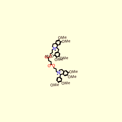 COc1ccc(C2c3cc(OC)c(OC)cc3CC[N+]2(C)CCCOC(=O)CCC(=O)OCCC[N+]2(C)CCc3cc(OC)c(OC)cc3C2Cc2cc(OC)c(OC)c(OC)c2)cc1OC